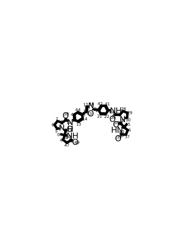 CC1(C(=O)N2CCCC2C(=O)Nc2ccc(-c3cnc(-c4ccc(NC(=O)C5CCCN5C(=O)C5(C)CCC(=O)N5)cc4)o3)cc2)CCC(=O)N1